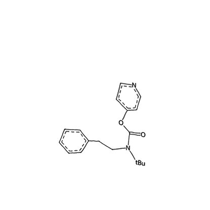 CC(C)(C)N(CCc1ccccc1)C(=O)Oc1ccncc1